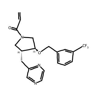 C=CC(=O)N1C[C@@H](Cc2cnccn2)[C@H](OCc2cccc(C(F)(F)F)c2)C1